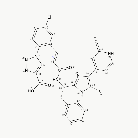 O=C(/C=C/c1cc(Cl)ccc1-n1cc(C(=O)O)nn1)N[C@@H](Cc1ccccc1)c1nc(-c2cc[nH]c(=O)c2)c(Cl)[nH]1